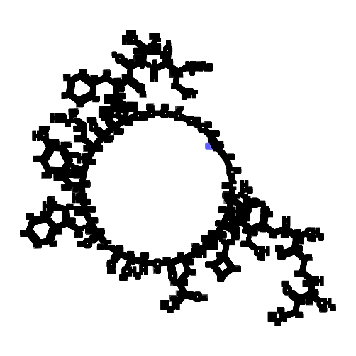 CC(=O)N[C@@H](CC(C)C)C(=O)N[C@H](C(=O)C(=O)[C@H](Cc1ccccc1)NN[C@]1(C)CCCCCC/C=C/CCC[C@@](C)(C(=O)N[C@@H](CO)C(=O)CN[C@@H](C)C(=O)CCN[C@@H](C)C(=O)CN)NC(=O)[C@H](CC2CCC2)NN[C@@H](CCC(N)=O)C(=O)CN[C@@H](C)C(=O)CC(=O)[C@H](Cc2c[nH]c3ccccc23)NN[C@@H](Cc2ccc(O)cc2)C(=O)N[C@@H](CCC(=O)O)C(=O)C1=O)[C@@H](C)O